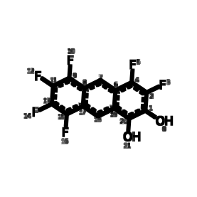 Oc1c(F)c(F)c2cc3c(F)c(F)c(F)c(F)c3cc2c1O